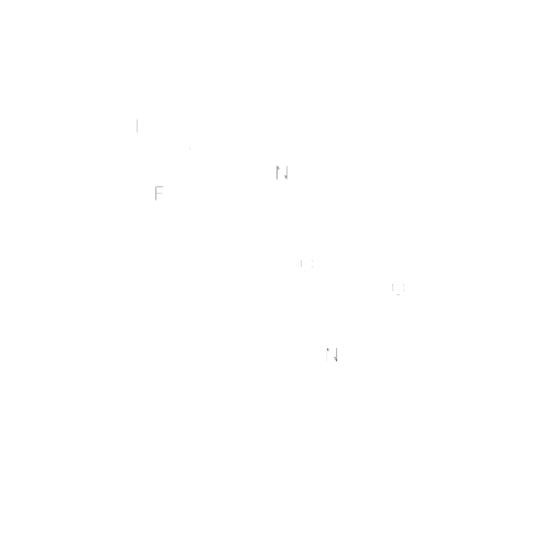 O=C(OCN1CCCC(F)(F)C1)N1CCCCC1